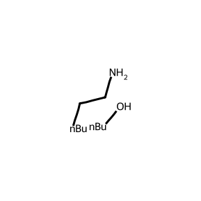 CCCCCCN.CCCCO